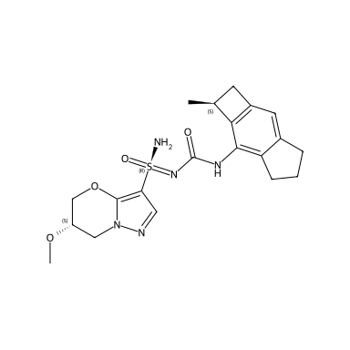 CO[C@@H]1COc2c([S@](N)(=O)=NC(=O)Nc3c4c(cc5c3[C@@H](C)C5)CCC4)cnn2C1